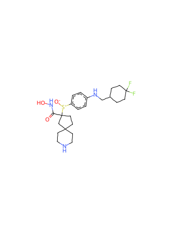 O=C(NO)C1([S+]([O-])c2ccc(NCC3CCC(F)(F)CC3)cc2)CCC2(CCNCC2)C1